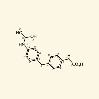 O=C(O)Nc1ccc(Cc2ccc(NC(O)O)cc2)cc1